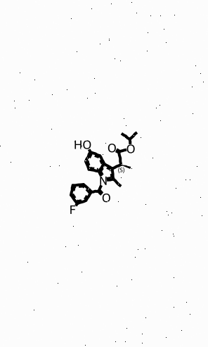 Cc1c([C@H](C)C(=O)OC(C)C)c2cc(O)ccc2n1C(=O)c1cccc(F)c1